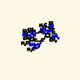 C=C(N)c1cc2c3c(c1)NC(NC(=C)c1cc(C)nn1CC)N3C/C=C/Cn1c(NC(=C)c3cc(C)nn3CC)nc3cc(C(=C)N)cc(c31)CCC(CN1CCN(C)CC1)CC2